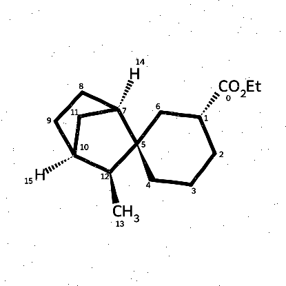 CCOC(=O)[C@@H]1CCC[C@]2(C1)[C@@H]1CC[C@@H](C1)[C@@H]2C